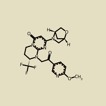 COc1ccc(C(=O)CN2c3nc(N4C[C@@H]5C[C@H]4CO5)cc(=O)n3CC[C@H]2C(F)(F)F)cn1